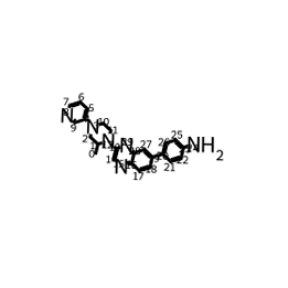 CC1CN(c2cccnc2)CCN1c1cnc2ccc(-c3ccc(N)cc3)cc2n1